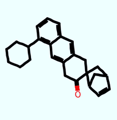 O=C1Cc2cc3c(C4CCCCC4)cccc3cc2CC12CC1C=CC2C1